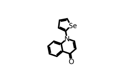 O=c1ccn(-c2ccc[se]2)c2ccccc12